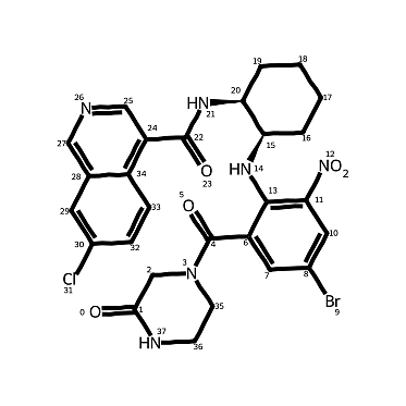 O=C1CN(C(=O)c2cc(Br)cc([N+](=O)[O-])c2N[C@@H]2CCCC[C@@H]2NC(=O)c2cncc3cc(Cl)ccc23)CCN1